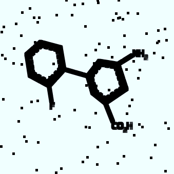 Nc1cc(C(=O)O)cc(-c2ccccc2F)c1